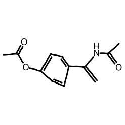 C=C(NC(C)=O)c1ccc(OC(C)=O)cc1